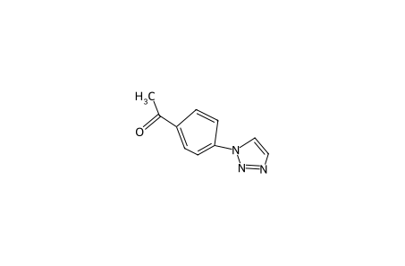 CC(=O)c1ccc(-n2ccnn2)cc1